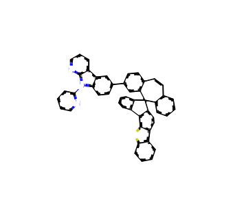 C1=Cc2ccc(-c3ccc4c(c3)c3cccnc3n4-c3ccccn3)cc2C2(c3ccccc31)c1ccccc1-c1c2ccc2c1sc1ccccc12